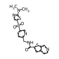 CN(C)c1ncc(S(=O)(=O)c2ccc(CNC(=O)c3cc4ccncc4s3)nc2)s1